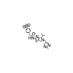 Cc1ncc(CN2Cc3sc(NC(=O)Cc4ccc(S(C)(=O)=O)cc4)nc3C2C(C)C)cn1